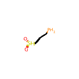 O=[SH](=O)CCCP